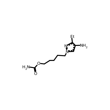 CCc1nn(CCCCCOC(N)=O)cc1N